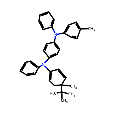 Cc1ccc(N(c2ccccc2)c2ccc(N(C3=CCC(C)(C(C)(C)C)C=C3)c3ccccc3)cc2)cc1